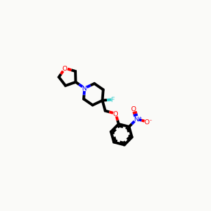 O=[N+]([O-])c1ccccc1OCC1(F)CCN(C2CCOC2)CC1